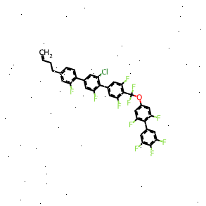 C=CCCc1ccc(-c2cc(F)c(-c3cc(F)c(C(F)(F)Oc4cc(F)c(-c5cc(F)c(F)c(F)c5)c(F)c4)c(F)c3)c(Cl)c2)c(F)c1